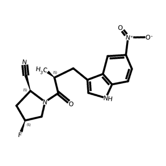 C[C@@H](Cc1c[nH]c2ccc([N+](=O)[O-])cc12)C(=O)N1C[C@@H](F)C[C@H]1C#N